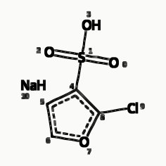 O=S(=O)(O)c1ccoc1Cl.[NaH]